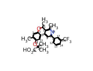 Cc1cc(OC(C)c2ccc(-c3cccc(C(F)(F)F)c3)nc2C)ccc1OC(C)(C)C(=O)O